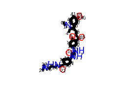 CCn1c(C)c(C=C2Oc3ccc(NC(=O)Nc4ccc(C(=O)NCCCN(C)C)cc4)cc3C2=O)c2cc(OC)ccc21